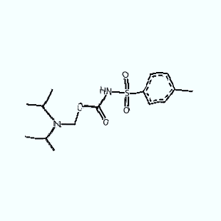 Cc1ccc(S(=O)(=O)NC(=O)OCN(C(C)C)C(C)C)cc1